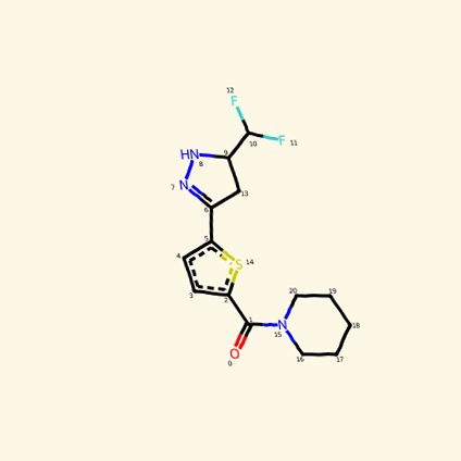 O=C(c1ccc(C2=NNC(C(F)F)C2)s1)N1CCCCC1